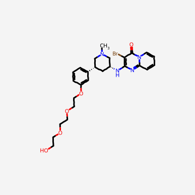 CN1C[C@H](Nc2nc3ccccn3c(=O)c2Br)C[C@H](c2cccc(OCCOCCOCCO)c2)C1